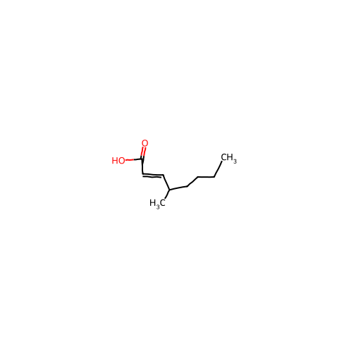 CCCCC(C)C=CC(=O)O